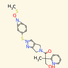 CSON1c2ccc(Sn3cc4c(n3)CN(C(=O)C(C)(CO)c3ccccn3)C4)cc21